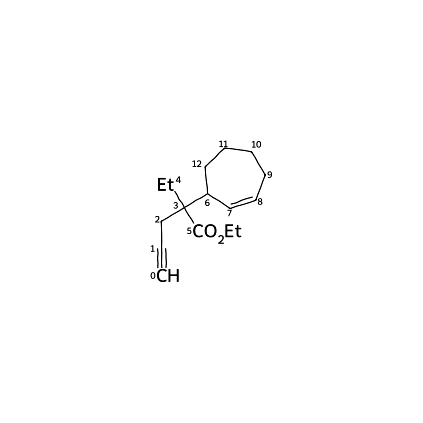 C#CCC(CC)(C(=O)OCC)C1C=CCCCC1